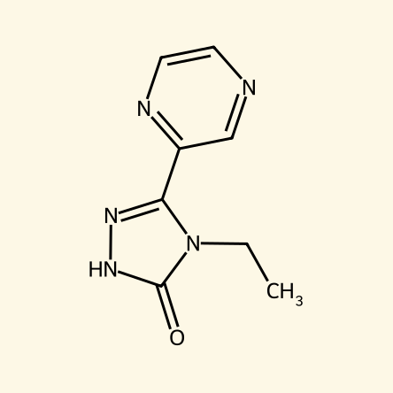 CCn1c(-c2cnccn2)n[nH]c1=O